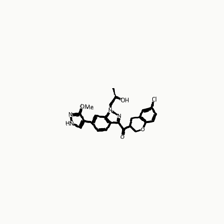 COc1n[nH]cc1-c1ccc2c(C(=O)C3COc4ccc(Cl)cc4C3)nn(C[C@@H](C)O)c2c1